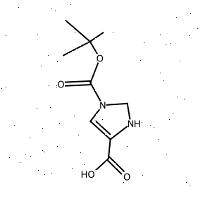 CC(C)(C)OC(=O)N1C=C(C(=O)O)NC1